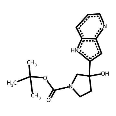 CC(C)(C)OC(=O)N1CCC(O)(c2cc3ncccc3[nH]2)C1